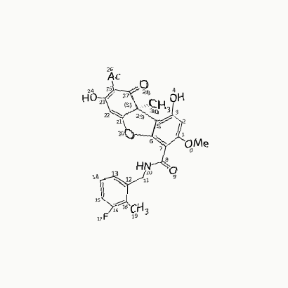 COc1cc(O)c2c(c1C(=O)NCc1cccc(F)c1C)OC1=CC(O)=C(C(C)=O)C(=O)[C@]12C